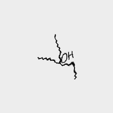 CCCCCC=CCCCC(O)C(CCCC=CCCCCC)CCC/C=C\CCCCC